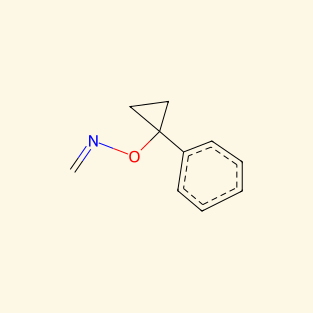 C=NOC1(c2ccccc2)CC1